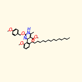 CCCCCCCCCCCCCCCc1cccc(OC)c1C1N=C(OCc2ccc(OC)cc2)NC(C)=C1C(=O)OC